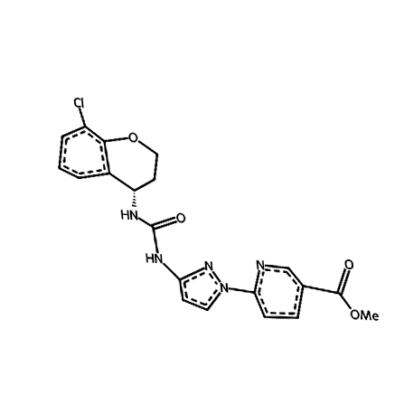 COC(=O)c1ccc(-n2ccc(NC(=O)N[C@H]3CCOc4c(Cl)cccc43)n2)nc1